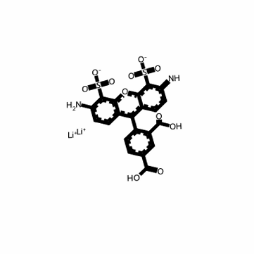 N=c1ccc2c(-c3ccc(C(=O)O)cc3C(=O)O)c3ccc(N)c(S(=O)(=O)[O-])c3oc-2c1S(=O)(=O)[O-].[Li+].[Li+]